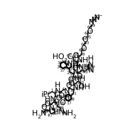 CC(C)CC(NC(=O)CNC(=O)C(Cc1ccc(O)cc1)NC(=O)C(CO)NC(=O)C(Cc1c[nH]c2ccccc12)NC(=O)C(Cc1c[nH]cn1)NC(=O)C(CCC(=O)O)NC(=O)CCOCCOCCOCCN=[N+]=[N-])C(=O)NC(CCCNN)C(=O)N1CCCC1C(N)=O